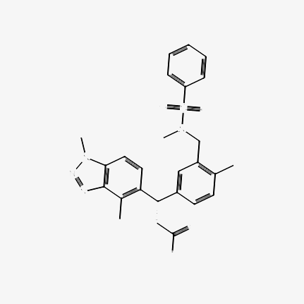 Cc1ccc([C@H](CC(=O)O)c2ccc3c(nnn3C)c2C)cc1CN(C)S(=O)(=O)c1ccccc1